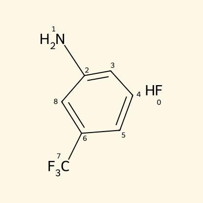 F.Nc1cccc(C(F)(F)F)c1